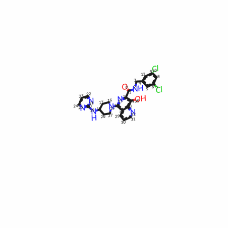 O=C(NCc1cc(Cl)cc(Cl)c1)c1nc(N2CCC(Nc3ncccn3)CC2)c2cccnc2c1O